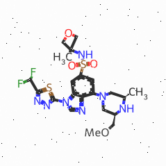 COC[C@H]1CN(c2cc(S(=O)(=O)NC3(C)COC3)cc3c2ncn3-c2nnc(C(F)F)s2)C[C@H](C)N1